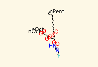 CCCCC/C=C\C/C=C\CCCCCCCC(=O)OCC(COC(=O)CCC(OCCCCCCCC)OCCCCCCCC)COC(=O)NC1CN(CCF)C1